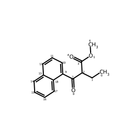 CCC(C(=O)OC)C(=O)c1cccc2ccccc12